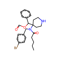 CCCCC(=O)N(Cc1ccc(Br)cc1)C1(C(OC=O)c2ccccc2)CCNCC1